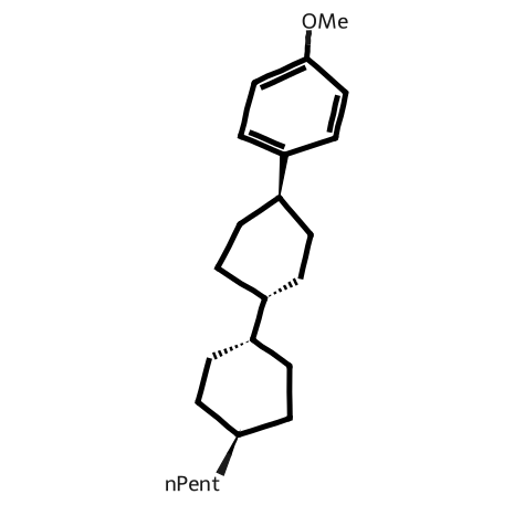 CCCCC[C@H]1CC[C@H]([C@H]2CC[C@H](c3ccc(OC)cc3)CC2)CC1